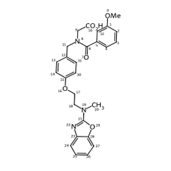 COc1cccc(C(=O)N(CC(=O)O)Cc2ccc(OCCN(C)c3nc4ccccc4o3)cc2)c1